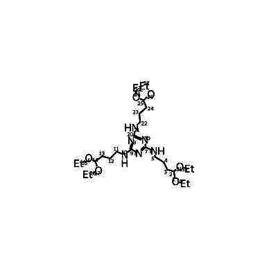 CCOC(CCCNc1nc(NCCCC(OCC)OCC)nc(NCCCC(OCC)OCC)n1)OCC